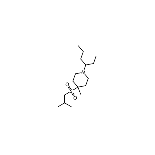 CCCC(CC)N1CCC(C)(S(=O)(=O)CC(C)C)CC1